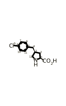 O=C(O)[C@@H]1C[C@H](Cc2ccc(Cl)cc2)CN1